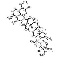 CC[C@@H](C(=O)[C@@H](C)[C@@H](O)[C@H](C)[C@@H]1O[C@@H]([C@@H](CC)C(=O)O)CC[C@@H]1C)[C@H]1O[C@]2(C=C[C@@H](OC(C)=O)[C@]3(CC[C@@](C)([C@H]4CC[C@](O)(CC)[C@H](C)O4)O3)O2)[C@H](C)C[C@@H]1C